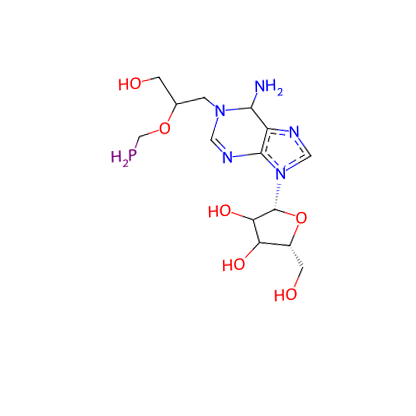 NC1c2ncn([C@@H]3O[C@H](CO)C(O)C3O)c2N=CN1CC(CO)OCP